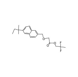 CCC(C)(C)c1ccc2cc(COCC(=O)OCC(C)(F)F)ccc2c1